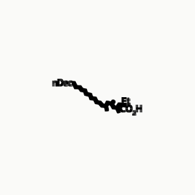 CCCCCCCCCCCCCCCCCCCCCCC(C)CC(C)CC(C)CC(C)(CC)C(=O)O